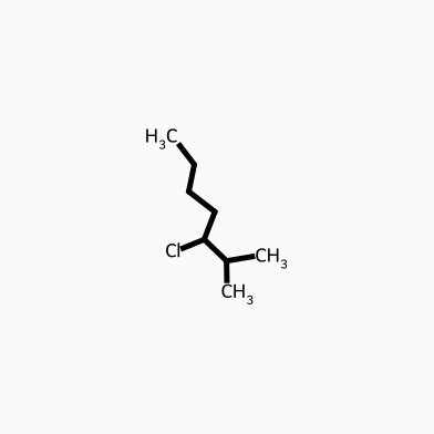 CCCCC(Cl)C(C)C